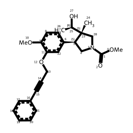 COC(=O)N1C[C@@H](c2ccc(OC)c(OCC#Cc3ccccc3)c2)[C@](C)([C@@H](C)O)C1